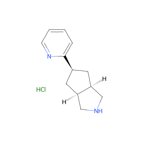 Cl.c1ccc([C@H]2C[C@H]3CNC[C@H]3C2)nc1